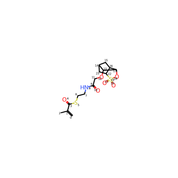 C=C(C)C(=O)SCCNC(=O)COC1C2CC3C1OS(=O)(=O)C3C2